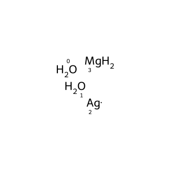 O.O.[Ag].[MgH2]